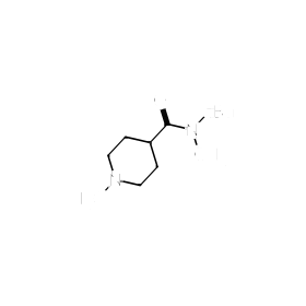 CN1CCC(C(=O)N(C)C(C)(C)C)CC1